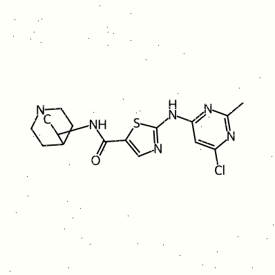 Cc1nc(Cl)cc(Nc2ncc(C(=O)NC3CN4CCC3CC4)s2)n1